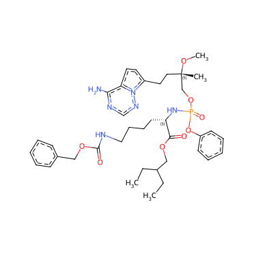 CCC(CC)COC(=O)[C@H](CCCCNC(=O)OCc1ccccc1)NP(=O)(OC[C@](C)(CCc1ccc2c(N)ncnn12)OC)Oc1ccccc1